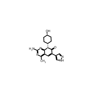 Cc1nc(N)nc2c1cc(-c1cn[nH]c1)c(=O)n2[C@H]1CC[C@H](O)CC1